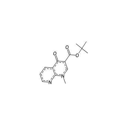 Cn1cc(C(=O)OC(C)(C)C)c(=O)c2cccnc21